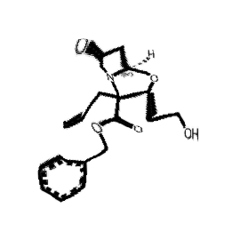 C=CCC1(C(=O)OCc2ccccc2)C(=CCO)O[C@@H]2CC(=O)N21